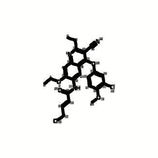 CCOc1cc2nc(CC)c(C#N)c(Oc3ccc(OC)c(Cl)c3)c2cc1NC(=O)/C=C/CCl